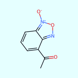 CC(=O)c1cccc2c1no[n+]2[O-]